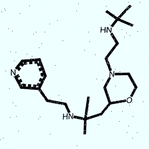 CC(C)(C)NCCN1CCOC(CC(C)(C)NCCc2cccnc2)C1